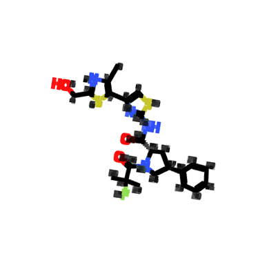 Cc1nc(CO)sc1-c1csc(NC(=O)[C@@H]2C[C@@H](c3ccccc3)CN2C(=O)C(C)(C)F)n1